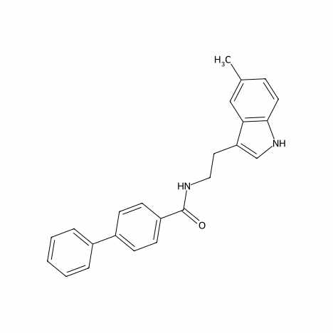 Cc1ccc2[nH]cc(CCNC(=O)c3ccc(-c4ccccc4)cc3)c2c1